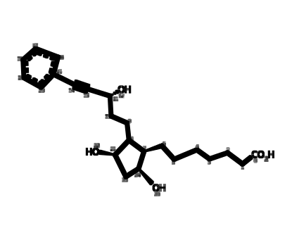 O=C(O)CCCCCC[C@@H]1C(CC[C@@H](O)C#Cc2ccccc2)[C@H](O)C[C@@H]1O